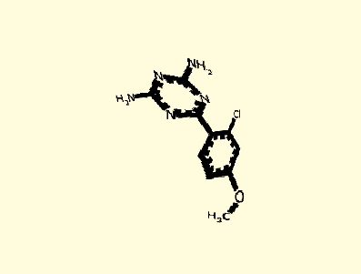 COc1ccc(-c2nc(N)nc(N)n2)c(Cl)c1